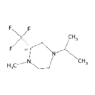 CC(C)N1CCN(C)[C@H](C(F)(F)F)C1